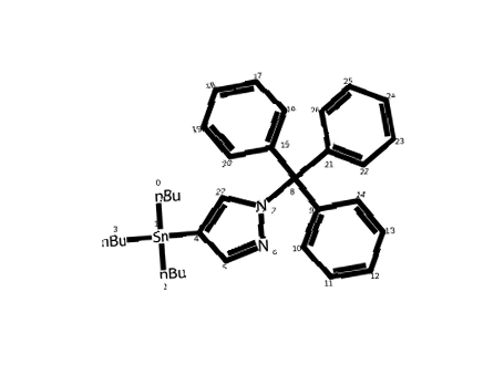 CCC[CH2][Sn]([CH2]CCC)([CH2]CCC)[c]1cnn(C(c2ccccc2)(c2ccccc2)c2ccccc2)c1